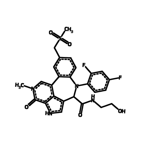 Cn1cc2c3c(c[nH]c3c1=O)C(C(=O)NCCO)N(c1ccc(F)cc1F)c1ccc(CS(C)(=O)=O)cc1-2